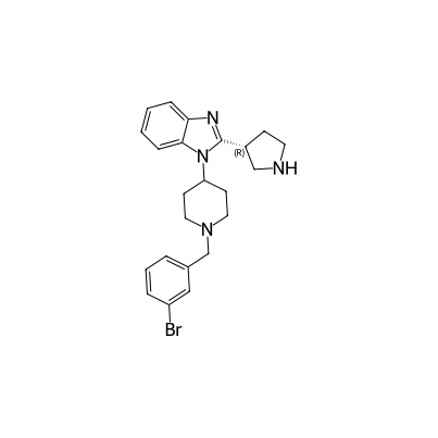 Brc1cccc(CN2CCC(n3c([C@@H]4CCNC4)nc4ccccc43)CC2)c1